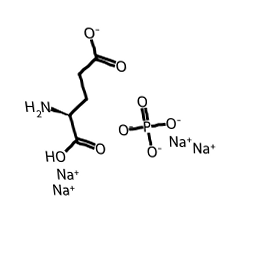 N[C@@H](CCC(=O)[O-])C(=O)O.O=P([O-])([O-])[O-].[Na+].[Na+].[Na+].[Na+]